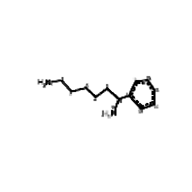 NCCCCCC(N)c1ccccc1